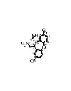 O=[N+]([O-])C[C@@H]1c2cc(Cl)ccc2Oc2ccc(Cl)cc2[C@H]1CO